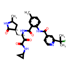 Cc1ccc(NC(=O)c2ccnc(C(C)(C)F)c2)c(C(=O)N[C@@H](C[C@@H]2CC(C)NC2=O)C(=O)C(=O)NC2CC2)c1